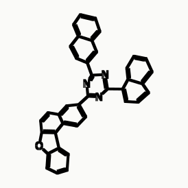 c1ccc2cc(-c3nc(-c4ccc5c(ccc6oc7ccccc7c65)c4)nc(-c4cccc5ccccc45)n3)ccc2c1